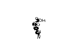 N#Cc1ccc(-c2ccc(N3CCN(CCC(=O)O)C3=O)cc2)nc1